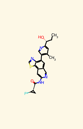 CC[C@@H](O)c1cc(C)c(-c2cc3cnc(NC(=O)[C@H]4C[C@H]4F)cc3c3scnc23)cn1